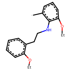 [CH2]c1cccc(OCC)c1NCCc1ccccc1OCC